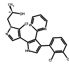 COc1cccc(-c2c[nH]c(-c3cnn(C[C@@H](C)O)c3C(F)(F)F)c2-c2ncccn2)c1Cl